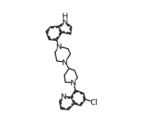 Clc1cc(N2CCC(N3CCN(c4cccc5[nH]ccc45)CC3)CC2)c2ncccc2c1